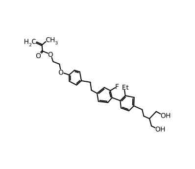 C=C(C)C(=O)OCCOc1ccc(CCc2ccc(-c3ccc(CCC(CO)CO)cc3CC)c(F)c2)cc1